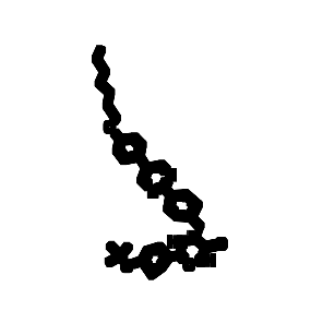 CCCCCCCOc1ccc(-c2cnc(-c3ccc(C[C@H](NC(=O)c4ccc(OC(C)(C)C)cc4)C(=O)O)cc3)nc2)cc1